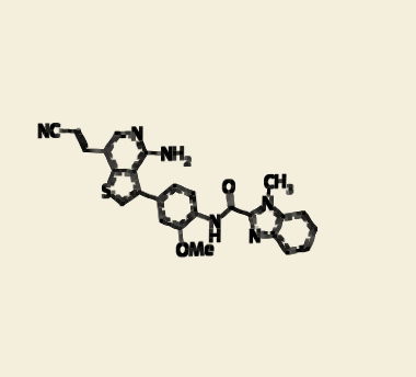 COc1cc(-c2csc3c(/C=C/C#N)cnc(N)c23)ccc1NC(=O)c1nc2ccccc2n1C